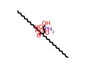 CCCCCCCCCCCCCCCCC(C(=O)CCCCCCCCCCCCCCC)C(=O)C(O)(P)C(O)CO